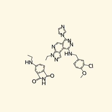 CCNc1ccc2c(c1)C(=O)NC2=O.CCn1ncc2c3c(NCc4ccc(OC)c(Cl)c4)nnc(-n4ccnc4)c3cnc21